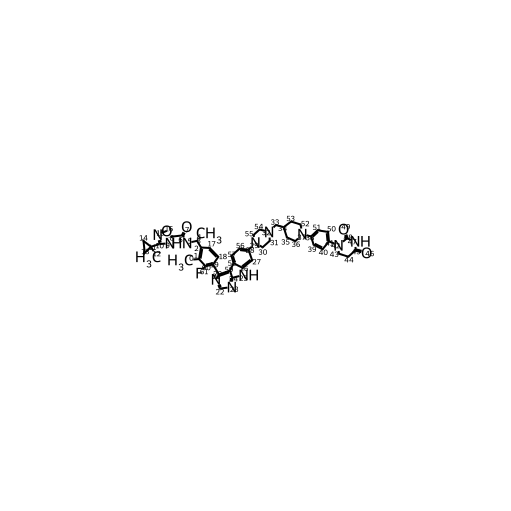 Cc1c([C@@H](C)NC(=O)c2nc(C3(C)CC3)no2)ccc(-c2ncnc3[nH]c4cc(N5CCN(CC6CCN(c7ccc(N8CCC(=O)NC8=O)cc7)CC6)CC5)ccc4c23)c1F